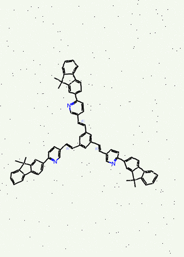 CC1(C)c2ccccc2-c2ccc(-c3ccc(/C=C/c4cc(/C=C/c5ccc(-c6ccc7c(c6)C(C)(C)c6ccccc6-7)nc5)cc(/C=C/c5ccc(-c6ccc7c(c6)C(C)(C)c6ccccc6-7)nc5)c4)cn3)cc21